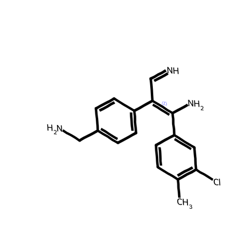 Cc1ccc(/C(N)=C(/C=N)c2ccc(CN)cc2)cc1Cl